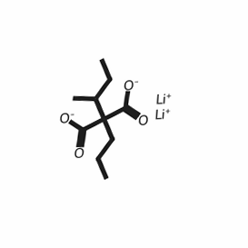 CCCC(C(=O)[O-])(C(=O)[O-])C(C)CC.[Li+].[Li+]